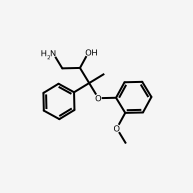 COc1ccccc1OC(C)(c1ccccc1)C(O)CN